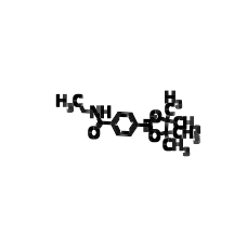 CCNC(=O)c1ccc(B2OC(C)(C)C(C)(C)O2)cc1